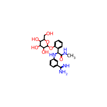 CNC(=O)C(Nc1cccc(C(=N)N)c1)c1ccccc1OC1OC(CO)C(O)C(O)C1O